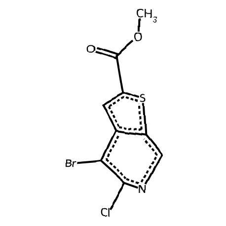 COC(=O)c1cc2c(Br)c(Cl)ncc2s1